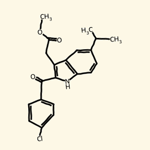 COC(=O)Cc1c(C(=O)c2ccc(Cl)cc2)[nH]c2ccc(C(C)C)cc12